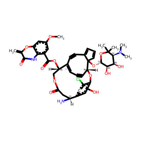 C=C1Oc2cc(OC)cc(C(=O)O[C@H]3COC(=O)C[C@H](N)c4cc(O)c(c(Cl)c4)O[C@@H]4C#C/C=C/3C#CC3=CC=CC34O[C@@H]3OC(C)(C)[C@@H](N(C)C)[C@@H](O)[C@H]3O)c2NC1=O